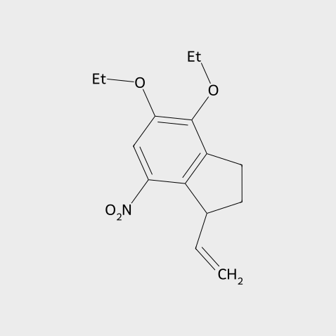 C=CC1CCc2c(OCC)c(OCC)cc([N+](=O)[O-])c21